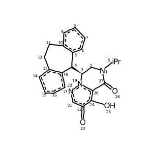 CC(C)N1C[C@H](C2c3ccccc3CCc3ccccc32)n2ncc(=O)c(O)c2C1=O